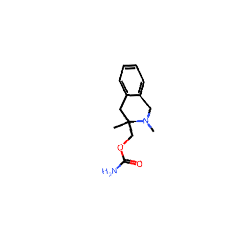 CN1Cc2ccccc2CC1(C)COC(N)=O